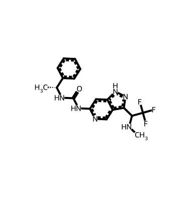 CNC(c1n[nH]c2cc(NC(=O)N[C@H](C)c3ccccc3)ncc12)C(F)(F)F